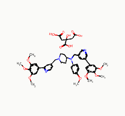 COc1ccc(N(Cc2cncc(-c3cc(OC)c(OC)c(OC)c3)c2)C2CCN(Cc3ccnc(-c4cc(OC)c(OC)c(OC)c4)c3)CC2)cc1.O=C(O)CC(O)(CC(=O)O)C(=O)O